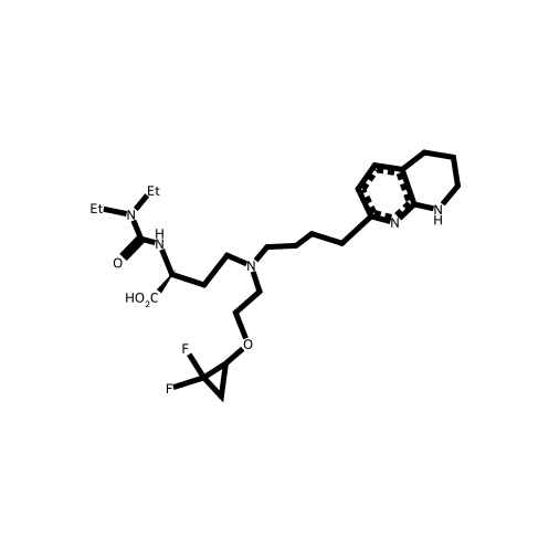 CCN(CC)C(=O)N[C@@H](CCN(CCCCc1ccc2c(n1)NCCC2)CCOC1CC1(F)F)C(=O)O